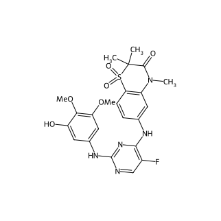 COc1cc(Nc2ncc(F)c(Nc3ccc4c(c3)N(C)C(=O)C(C)(C)S4(=O)=O)n2)cc(O)c1OC